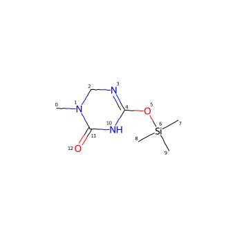 CN1CN=C(O[Si](C)(C)C)NC1=O